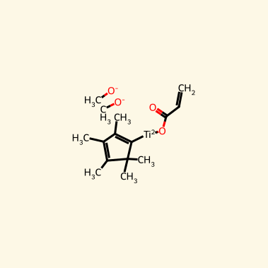 C=CC(=O)[O][Ti+2][C]1=C(C)C(C)=C(C)C1(C)C.C[O-].C[O-]